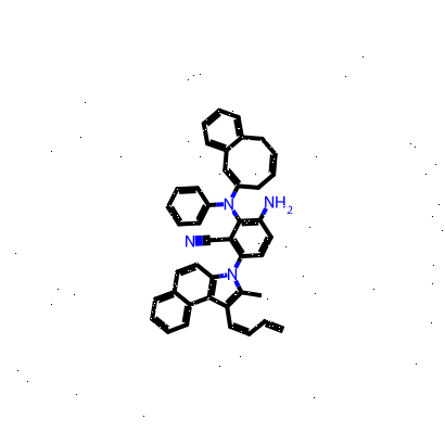 C=C/C=C\c1c(C)n(-c2ccc(N)c(N(/C3=C/c4ccccc4C/C=C\C3)c3ccccc3)c2C#N)c2ccc3ccccc3c12